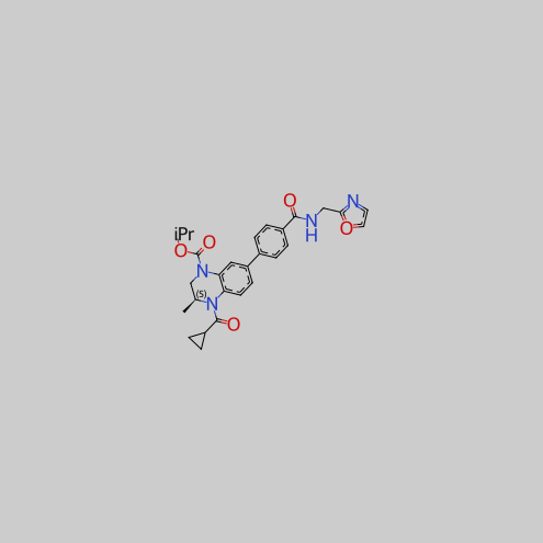 CC(C)OC(=O)N1C[C@H](C)N(C(=O)C2CC2)c2ccc(-c3ccc(C(=O)NCc4ncco4)cc3)cc21